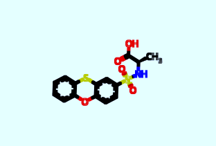 C[C@@H](NS(=O)(=O)c1ccc2c(c1)Sc1ccccc1O2)C(=O)O